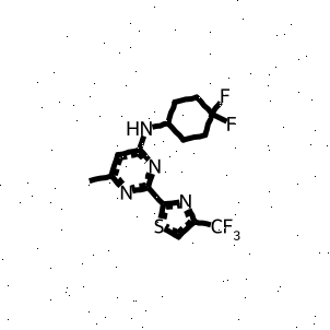 Cc1cc(NC2CCC(F)(F)CC2)nc(-c2nc(C(F)(F)F)cs2)n1